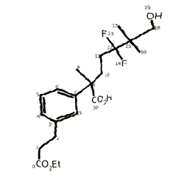 CCOC(=O)CCc1cccc(C(C)(CCC(F)(F)C(C)(C)CO)C(=O)O)c1